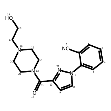 N#Cc1ccccc1-n1ccc(C(=O)N2CCN(CCO)CC2)n1